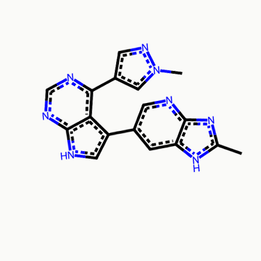 Cc1nc2ncc(-c3c[nH]c4ncnc(-c5cnn(C)c5)c34)cc2[nH]1